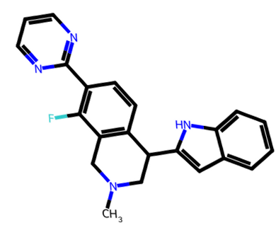 CN1Cc2c(ccc(-c3ncccn3)c2F)C(c2cc3ccccc3[nH]2)C1